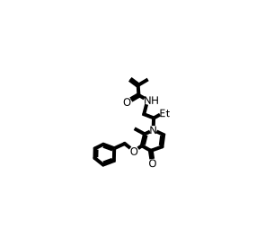 C=C(C)C(=O)NCC(CC)n1ccc(=O)c(OCc2ccccc2)c1C